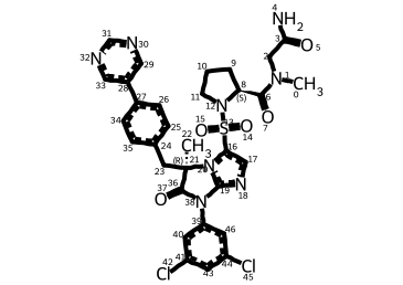 CN(CC(N)=O)C(=O)[C@@H]1CCCN1S(=O)(=O)c1cnc2n1[C@](C)(Cc1ccc(-c3cncnc3)cc1)C(=O)N2c1cc(Cl)cc(Cl)c1